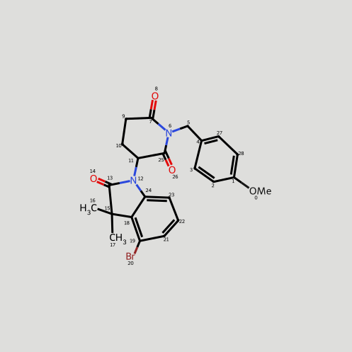 COc1ccc(CN2C(=O)CCC(N3C(=O)C(C)(C)c4c(Br)cccc43)C2=O)cc1